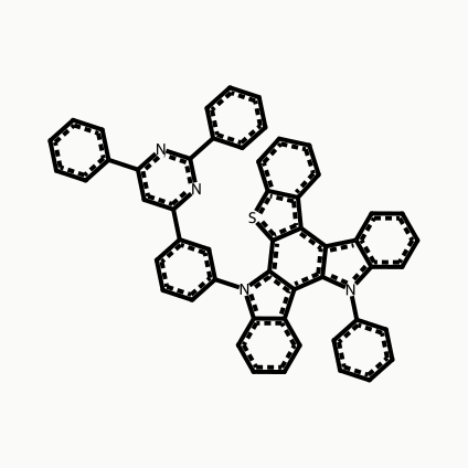 c1ccc(-c2cc(-c3cccc(-n4c5ccccc5c5c4c4sc6ccccc6c4c4c6ccccc6n(-c6ccccc6)c45)c3)nc(-c3ccccc3)n2)cc1